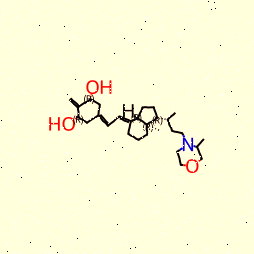 C=C1[C@H](O)CC(=CC=C2CCC[C@]3(C)[C@@H](C(C)CCN4CCOCC4C)CC[C@@H]23)C[C@H]1O